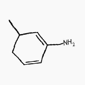 CC1C=C(N)C=CC1